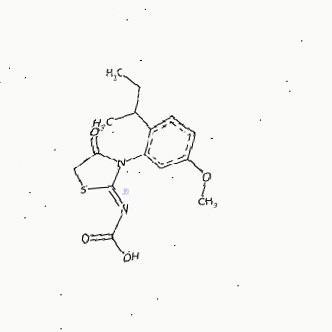 CCC(C)c1ccc(OC)cc1N1C(=O)CS/C1=N\C(=O)O